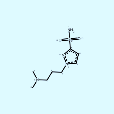 CN(C)CCCn1ccc(S(N)(=O)=O)n1